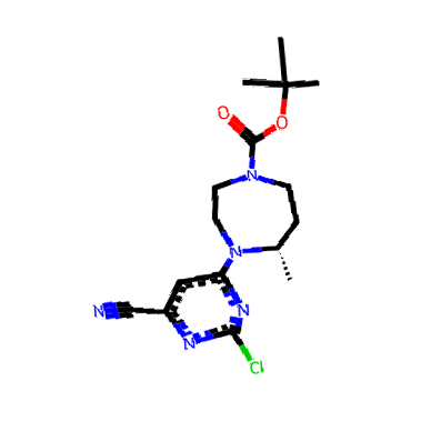 C[C@H]1CCN(C(=O)OC(C)(C)C)CCN1c1cc(C#N)nc(Cl)n1